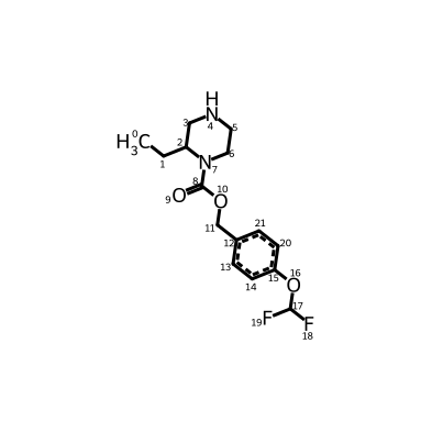 CCC1CNCCN1C(=O)OCc1ccc(OC(F)F)cc1